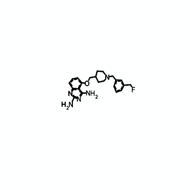 Nc1nc(N)c2c(OCC3CCN(Cc4cccc(CF)c4)CC3)cccc2n1